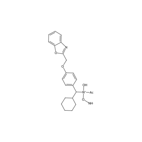 CC(=O)[N+](O)(O[NH])C(c1ccc(OCc2nc3ccccc3o2)cc1)C1CCCCC1